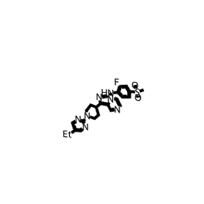 CCc1cnc(N2CCC(C3=C4C=NC=C[N+]4(Nc4ccc(S(C)(=O)=O)cc4F)C=N3)CC2)nc1